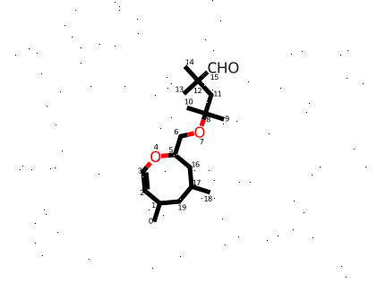 CC1/C=C\OC(COC(C)(C)CC(C)(C)C=O)CC(C)C1